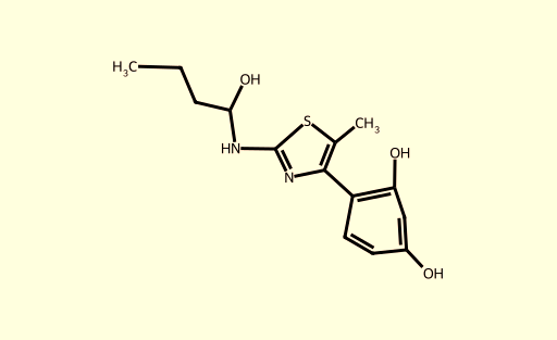 CCCC(O)Nc1nc(-c2ccc(O)cc2O)c(C)s1